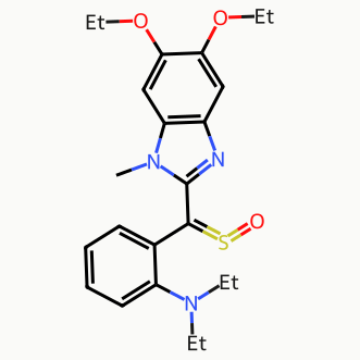 CCOc1cc2nc(C(=S=O)c3ccccc3N(CC)CC)n(C)c2cc1OCC